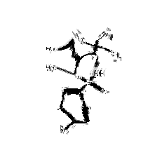 CCC(CC)[C@H](NS(=O)(=O)c1ccc(Br)cc1)C(C)(C)O